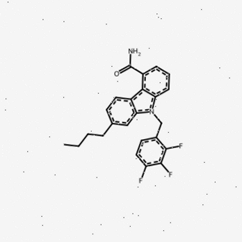 CCCCc1c[c]c2c3c(C(N)=O)cccc3n(Cc3ccc(F)c(F)c3F)c2c1